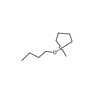 CCCCO[Si]1(C)CCCC1